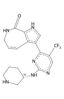 O=C1NCC=Cc2c(-c3nc(N[C@H]4CCCNC4)ncc3C(F)(F)F)c[nH]c21